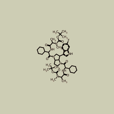 CC(C(=O)NC(C(=O)N1CC(c2c[nH]c3cc(F)ccc23)C2C1CCN2C(=O)C(NC(=O)C(C)N(C)C(=O)OC(C)(C)C)C1CCCCC1)C1CCCCC1)N(C)C(=O)OC(C)(C)C